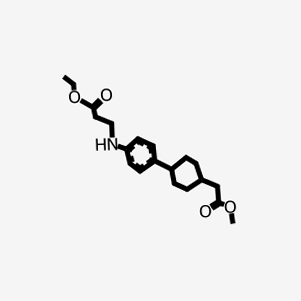 CCOC(=O)CCNc1ccc(C2CCC(CC(=O)OC)CC2)cc1